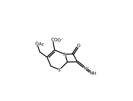 CC(=O)OCC1=C(C(=O)[O-])N2C(=O)C(=[N+]=N)C2SC1